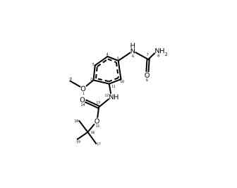 COc1ccc(NC(N)=O)cc1NC(=O)OC(C)(C)C